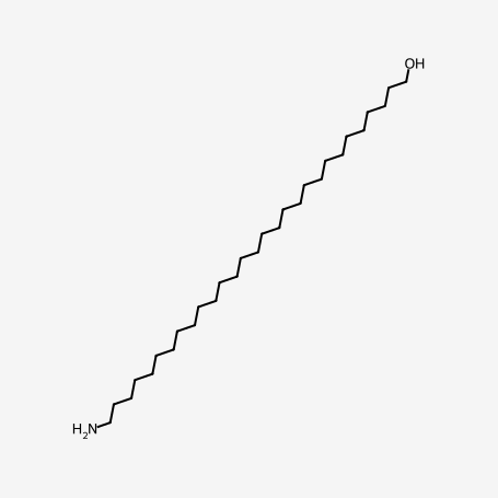 NCCCCCCCCCCCCCCCCCCCCCCCCCCCCCO